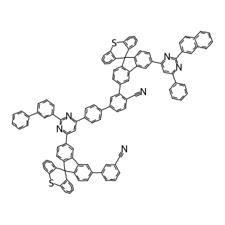 N#Cc1cccc(-c2ccc3c(c2)-c2cc(-c4cc(-c5ccc(-c6ccc(C#N)c(-c7ccc8c(c7)-c7cc(-c9cc(-c%10ccccc%10)nc(-c%10ccc%11ccccc%11c%10)n9)ccc7C87c8ccccc8Sc8ccccc87)c6)cc5)nc(-c5cccc(-c6ccccc6)c5)n4)ccc2C32c3ccccc3Sc3ccccc32)c1